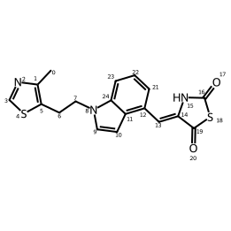 Cc1ncsc1CCn1ccc2c(C=C3NC(=O)SC3=O)cccc21